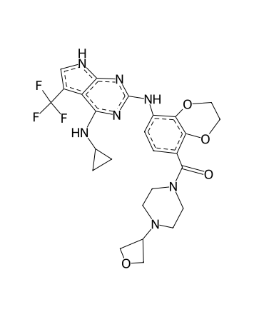 O=C(c1ccc(Nc2nc(NC3CC3)c3c(C(F)(F)F)c[nH]c3n2)c2c1OCCO2)N1CCN(C2COC2)CC1